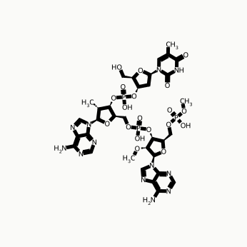 CO[C@@H]1[C@H](OP(=O)(O)OC[C@H]2O[C@@H](n3cnc4c(N)ncnc43)[C@H](C)[C@@H]2OP(=O)(O)O[C@H]2C[C@H](n3cc(C)c(=O)[nH]c3=O)O[C@@H]2CO)[C@@H](COP(=O)(O)OC)O[C@H]1n1cnc2c(N)ncnc21